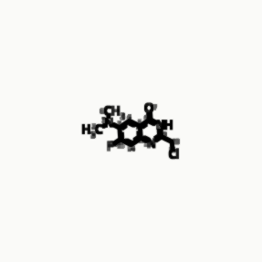 CN(C)c1cc2c(=O)[nH]c(CCl)nc2cc1F